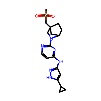 CS(=O)(=O)CC12CCC(C1)N(c1nccc(Nc3cc(C4CC4)[nH]n3)n1)C2